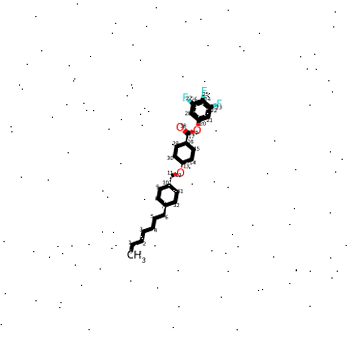 CCCCCCC[C@H]1CC[C@H](CO[C@H]2CC[C@H](C(=O)Oc3cc(F)c(F)c(F)c3)CC2)CC1